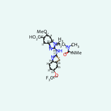 CNC(=O)N(C)C.COc1cc2c(cc1C(=O)O)nc(Nc1nc3ccc(OC(F)(F)F)cc3s1)n2C